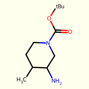 CC1CCN(C(=O)OC(C)(C)C)CC1N